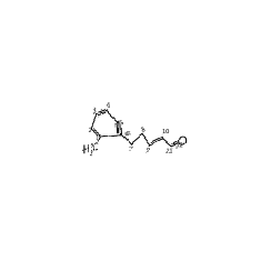 [CH2]c1ccccc1CCC=CC=O